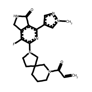 C=CC(=O)N1CCCC2(CCN(c3nc(-c4cnn(C)c4)c4c(c3F)CNC4=O)C2)C1